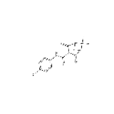 CC1(C)C2CC1C(=O)C(C(=O)Nc1ccc(Cl)cc1)C2=O